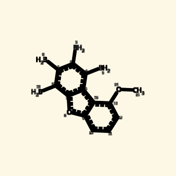 Bc1c(B)c(B)c2c(oc3cccc(OC)c32)c1B